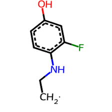 [CH2]CNc1ccc(O)cc1F